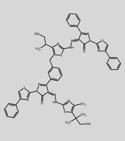 Cc1nc(N/N=C2\C(=O)N(c3nc(-c4ccccc4)cs3)N=C2c2cccc(Cc3sc(N/N=C4\C(=O)N(c5nc(-c6ccccc6)cs5)N=C4c4ccccc4)nc3C(C)CO)c2)sc1C(C)(C)CO